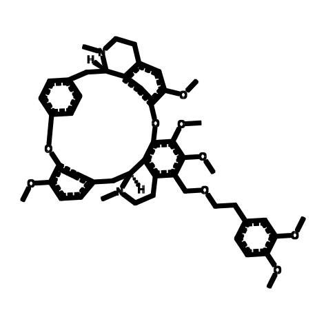 COc1ccc(CCOCc2c3c4c(c(OC)c2OC)Oc2cc5c(cc2OC)CCN(C)[C@H]5Cc2ccc(cc2)Oc2cc(ccc2OC)C[C@@H]4N(C)CC3)cc1OC